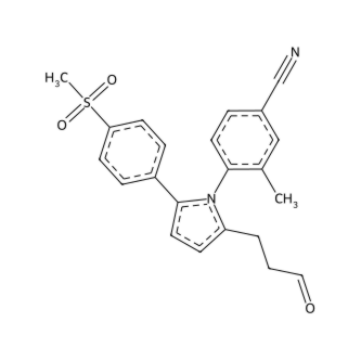 Cc1cc(C#N)ccc1-n1c(CCC=O)ccc1-c1ccc(S(C)(=O)=O)cc1